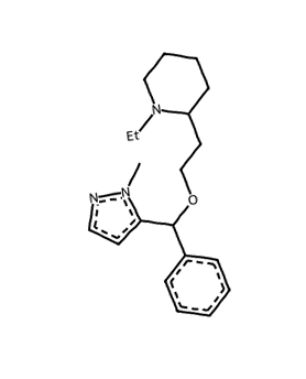 CCN1CCCCC1CCOC(c1ccccc1)c1ccnn1C